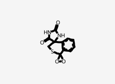 O=C1NC(=O)C2(CSC3(OO3)c3ccccc32)N1